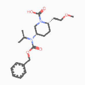 COCC[C@@H]1CC[C@@H](N(C(=O)OCc2ccccc2)C(C)C)CN1C(=O)O